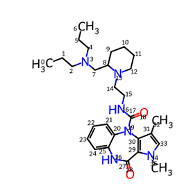 CCCN(CCC)CC1CCCCN1CCNC(=O)N1c2ccccc2NC(=O)c2c1c(C)cn2C